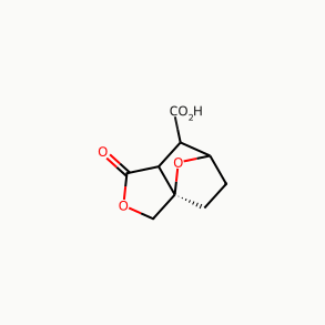 O=C(O)C1C2CC[C@@]3(COC(=O)C13)O2